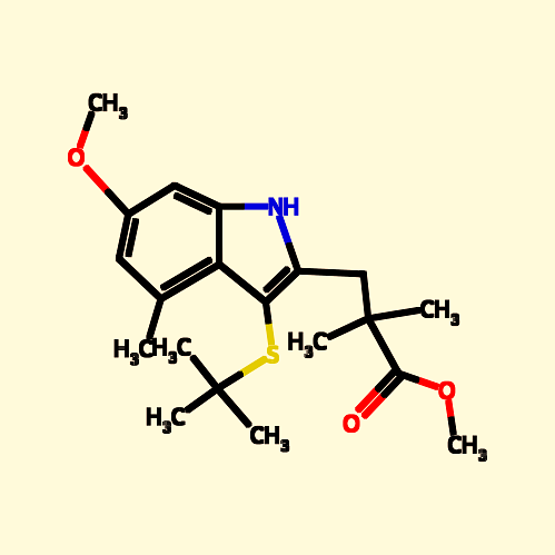 COC(=O)C(C)(C)Cc1[nH]c2cc(OC)cc(C)c2c1SC(C)(C)C